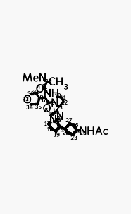 CN[C@@H](C)C(=O)N[C@H](C(=O)N1CCC[C@H]1c1cn2cccc(-c3ccc(NC(C)=O)cc3)c2n1)C1CCOCC1